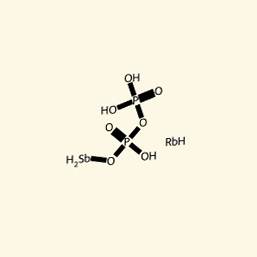 O=P(O)(O)OP(=O)(O)[O][SbH2].[RbH]